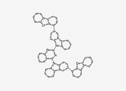 c1ccc2c(-n3c4ccccc4c4cc(-c5cccc6c5oc5ccccc56)ccc43)nc(-n3c4ccccc4c4cc(-c5cccc6c5oc5ccccc56)ccc43)nc2c1